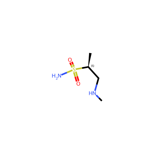 CNC[C@H](C)S(N)(=O)=O